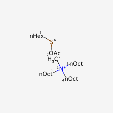 CCCCCCCC[N+](C)(CCCCCCCC)CCCCCCCC.CCCCCCSOC(C)=O